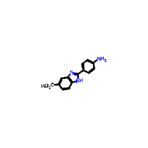 Nc1ccc(-c2nc3cc(C(=O)O)ccc3[nH]2)cc1